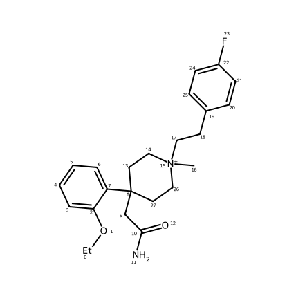 CCOc1ccccc1C1(CC(N)=O)CC[N+](C)(CCc2ccc(F)cc2)CC1